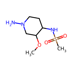 COC1CN(N)CCC1NS(C)(=O)=O